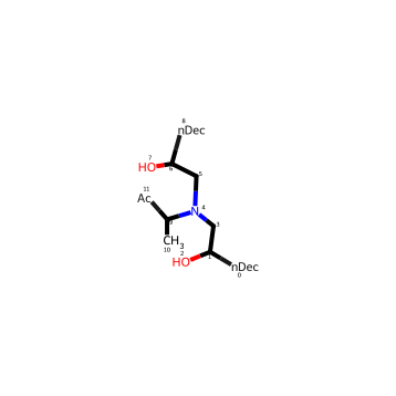 CCCCCCCCCCC(O)CN(CC(O)CCCCCCCCCC)C(C)C(C)=O